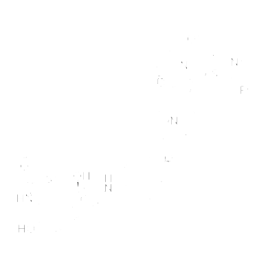 CC(C)c1ncc(C(=O)N2CCOC3(CCN(CCOc4ccc(CNC[C@H](O)c5ccc(O)c6[nH]c(=O)sc56)cc4)CC3)C2)s1